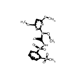 COc1cc(OC)nc(N(OC)C(=O)NS(=O)(=O)c2ccccc2S(C)(=O)=O)n1